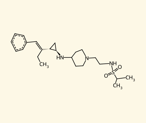 CC/C(=C\c1ccccc1)[C@@H]1C[C@H]1NC1CCN(CCNS(=O)(=O)C(C)C)CC1